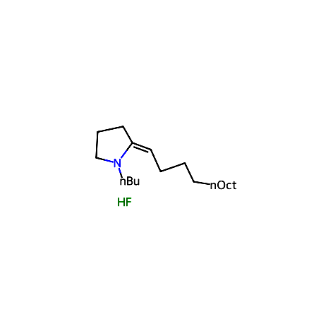 CCCCCCCCCCCC=C1CCCN1CCCC.F